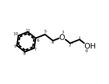 OC[CH]OCCc1ccccc1